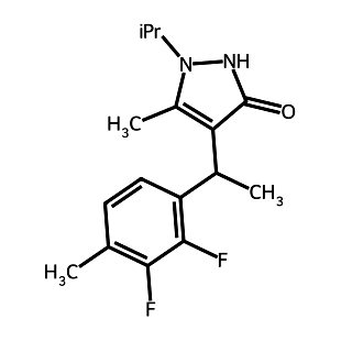 Cc1ccc(C(C)c2c(C)n(C(C)C)[nH]c2=O)c(F)c1F